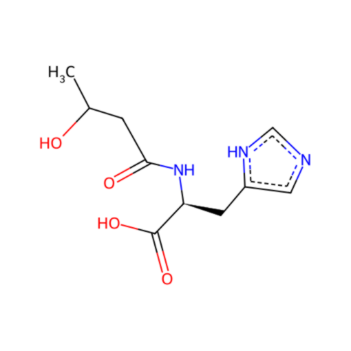 CC(O)CC(=O)N[C@@H](Cc1cnc[nH]1)C(=O)O